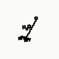 CCCN(CCC)CCCCCCCCCCCCCCCCCc1ccccc1.O